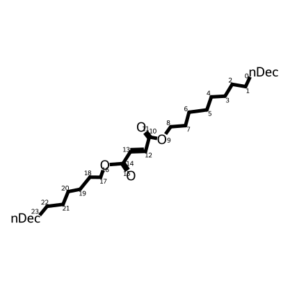 CCCCCCCCCCCCCCCCCCOC(=O)/C=C/C(=O)OCCCCCCCCCCCCCCCC